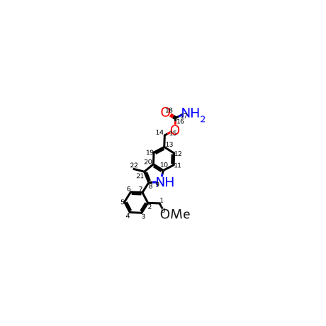 COCc1ccccc1-c1[nH]c2ccc(COC(N)=O)cc2c1C